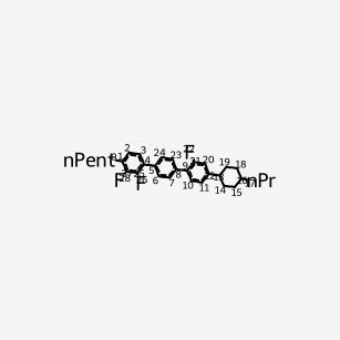 CCCCCc1ccc(-c2ccc(-c3ccc(C4CCC(CCC)CC4)cc3F)cc2)c(F)c1F